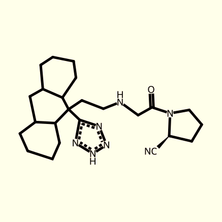 N#C[C@@H]1CCCN1C(=O)CNCCC1(c2nn[nH]n2)C2CCCCC2CC2CCCCC21